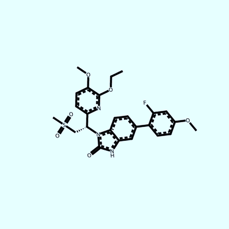 CCOc1nc([C@@H](CS(C)(=O)=O)n2c(=O)[nH]c3cc(-c4ccc(OC)cc4F)ccc32)ccc1OC